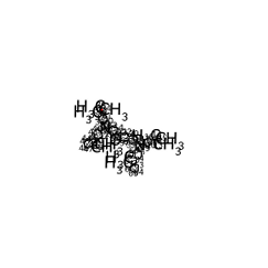 CC1=C(C2CC=C(N(C3=CC=C(C(C)(C)C)CC3)C3C=CC4=CC5C6=C(CC(N(C7=CCC(C(C)(C)C)CC7)C7=CC=C(C8C=CC=CC8C)C(C)C7)C=C6)OC5C=C4C3)CC2C)CCCC1